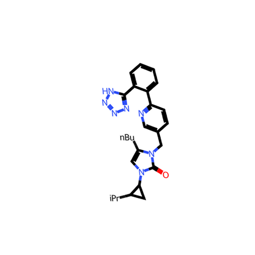 CCCCc1cn(C2CC2C(C)C)c(=O)n1Cc1ccc(-c2ccccc2-c2nnn[nH]2)nc1